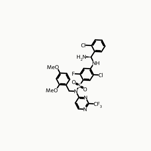 COc1ccc(CN(c2ccnc(C(F)(F)F)n2)S(=O)(=O)c2cc(Cl)c(N[C@@H](N)c3ccccc3Cl)cc2F)c(OC)c1